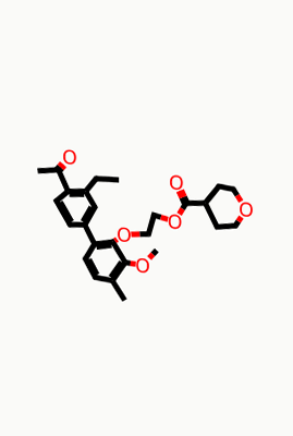 CCc1cc(-c2ccc(C)c(OC)c2OCCOC(=O)C2CCOCC2)ccc1C(C)=O